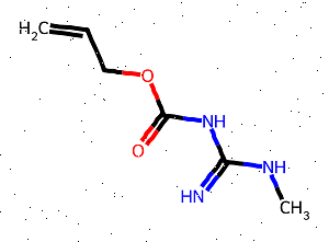 C=CCOC(=O)NC(=N)NC